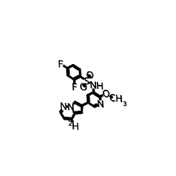 [2H]c1ccnn2cc(-c3cnc(OC)c(NS(=O)(=O)c4ccc(F)cc4F)c3)cc12